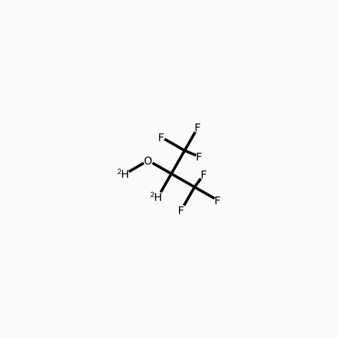 [2H]OC([2H])(C(F)(F)F)C(F)(F)F